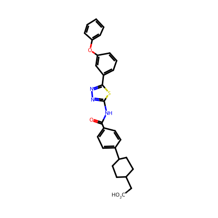 O=C(O)CC1CCC(c2ccc(C(=O)Nc3nnc(-c4cccc(Oc5ccccc5)c4)s3)cc2)CC1